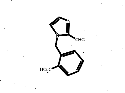 O=Cc1nccn1Cc1ccccc1C(=O)O